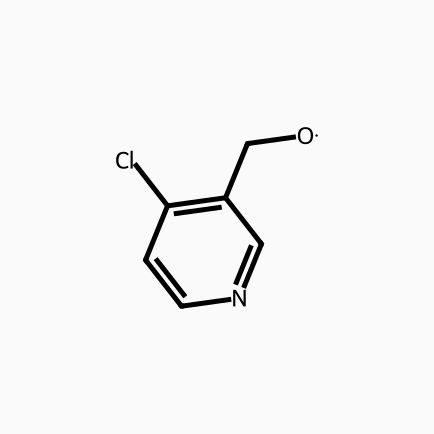 [O]Cc1cnccc1Cl